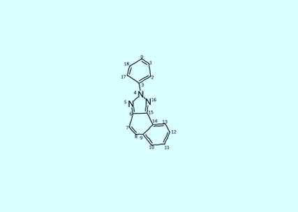 c1ccc(-n2nc3ccc4ccccc4c3n2)cc1